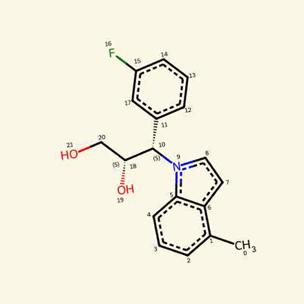 Cc1cccc2c1ccn2[C@@H](c1cccc(F)c1)[C@H](O)CO